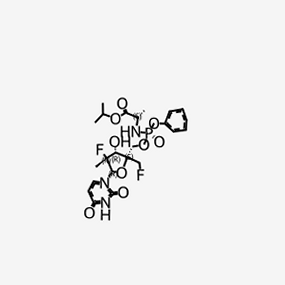 CC(C)OC(=O)[C@H](C)NP(=O)(OC[C@]1(CF)O[C@@H](n2ccc(=O)[nH]c2=O)[C@](C)(F)[C@@H]1O)Oc1ccccc1